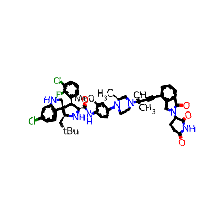 COc1cc(N2CCN(C(C)(C)C#Cc3cccc4c3CN(C3CCC(=O)NC3=O)C4=O)C[C@@H]2C)ccc1NC(=O)[C@@H]1N[C@@H](CC(C)(C)C)[C@@]2(CNc3cc(Cl)ccc32)[C@H]1c1cccc(Cl)c1F